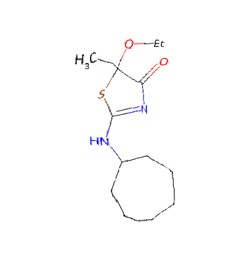 CCOC1(C)SC(NC2CCCCCC2)=NC1=O